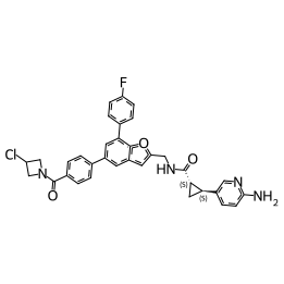 Nc1ccc([C@H]2C[C@@H]2C(=O)NCc2cc3cc(-c4ccc(C(=O)N5CC(Cl)C5)cc4)cc(-c4ccc(F)cc4)c3o2)cn1